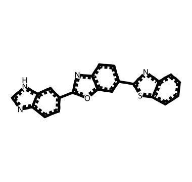 c1ccc2sc(-c3ccc4nc(-c5ccc6nc[nH]c6c5)oc4c3)nc2c1